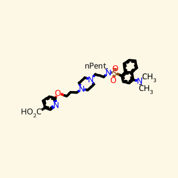 CCCCCN(CCN1CCN(CCCOc2ccc(C(=O)O)cn2)CC1)S(=O)(=O)c1ccc(N(C)C)c2ccccc12